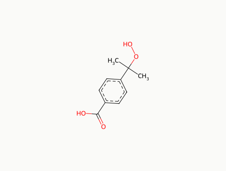 CC(C)(OO)c1ccc(C(=O)O)cc1